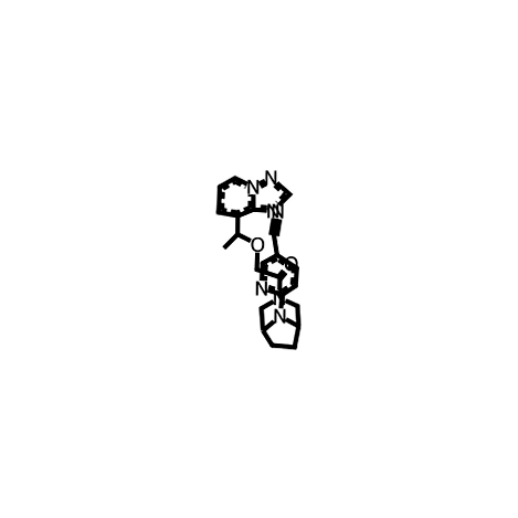 CC(OCC(=O)N1CC2CCC(C1)N2c1ccc(C#N)cn1)c1cccn2ncnc12